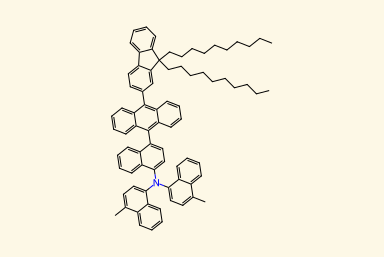 CCCCCCCCCCC1(CCCCCCCCCC)c2ccccc2-c2ccc(-c3c4ccccc4c(-c4ccc(N(c5ccc(C)c6ccccc56)c5ccc(C)c6ccccc56)c5ccccc45)c4ccccc34)cc21